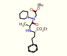 CCOC(=O)[C@H](CCc1ccccc1)N[C@@H](C)C(=O)N(CC(=O)OC(C)(C)C)N1CCCCC1